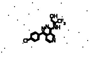 OC[C@H](Nc1nnc(-c2ccc(Cl)cc2)c2ccncc12)C(F)(F)F